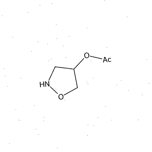 CC(=O)OC1CNOC1